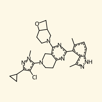 Cc1ccc2[nH]nc(C)c2c1-c1nc2c(c(N3CCC4OCC4C3)n1)CN(c1c(Cl)c(C3CC3)nn1C)CC2